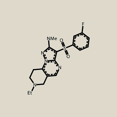 CCN1CCc2c(cnc3c(S(=O)(=O)c4cccc(F)c4)c(NC)nn23)C1